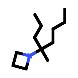 CCCCC(C)(CCC)N1CCC1